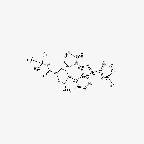 C[C@H]1CN(C(=O)OC(C)(C)C)CCN1c1ncnc2c1c(N1CCOCC1=O)cn2-c1cc(Cl)ccn1